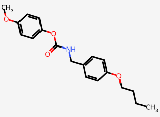 CCCCOc1ccc(CNC(=O)Oc2ccc(OC)cc2)cc1